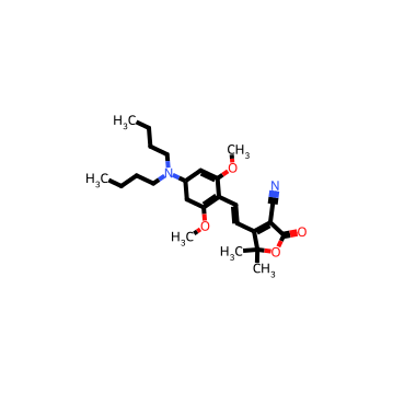 CCCCN(CCCC)C1C=C(OC)C(/C=C/C2=C(C#N)C(=O)OC2(C)C)=C(OC)C1